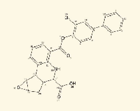 O=C(Oc1ccc(-c2ccccc2)cc1Cl)c1cccc2c1NC(C(=O)O)C1CC3OC3C21